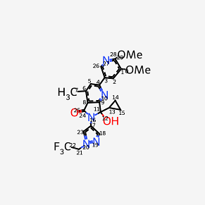 COc1cc(-c2cc(C)c3c(n2)C(O)(C2CC2)N(c2cnn(CC(F)(F)F)c2)C3=O)cnc1OC